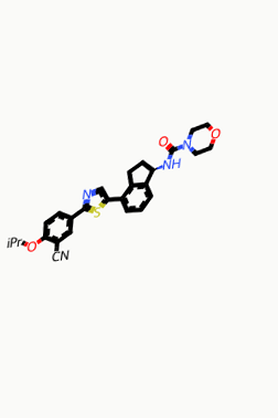 CC(C)Oc1ccc(-c2ncc(-c3cccc4c3CC[C@H]4NC(=O)N3CCOCC3)s2)cc1C#N